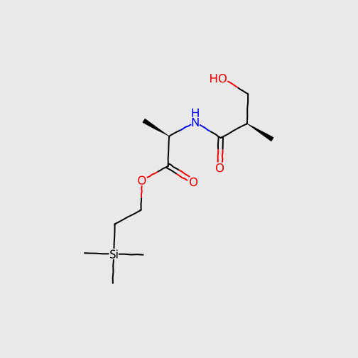 C[C@H](CO)C(=O)N[C@H](C)C(=O)OCC[Si](C)(C)C